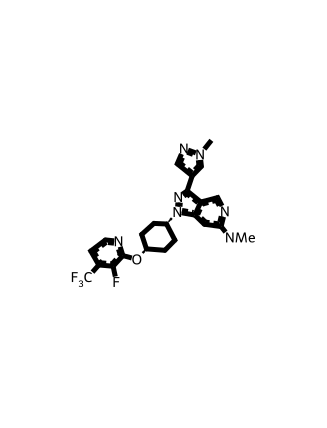 CNc1cc2c(cn1)c(-c1cnn(C)c1)nn2[C@H]1CC[C@@H](Oc2nccc(C(F)(F)F)c2F)CC1